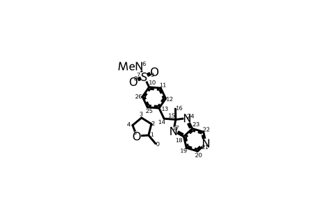 CC1CCCO1.CNS(=O)(=O)c1ccc(CC2(C)N=c3ccncc3=N2)cc1